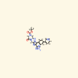 CC(C)(C)OC(=O)N1CCN(Cc2nc3c(N)nc4cc(-c5cccnc5)ccc4c3[nH]2)C(=O)C1